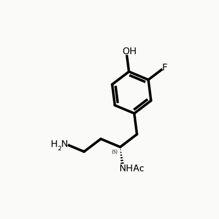 CC(=O)N[C@H](CCN)Cc1ccc(O)c(F)c1